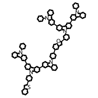 c1ccc(-n2c3ccccc3c3cc(-c4ccc5c(c4)c4cc(-c6ccc7c(c6)c6ccccc6n7-c6ccc(-c7ccc8oc(-c9cccc(-n%10c%11ccc(-c%12ccc%13c(c%12)c%12ccccc%12n%13-c%12ccccc%12)cc%11c%11cc(-c%12ccc%13c(c%12)c%12ccccc%12n%13-c%12ccccc%12)ccc%11%10)c9)cc8c7)cc6)ccc4n5-c4ccc(-c5cc6ccccc6s5)cc4)ccc32)cc1